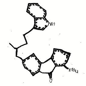 CC(CCc1c[nH]c2ccccc12)Cc1ccc2c(c1)-c1cccc(C(C)(C)C)c1C2=O